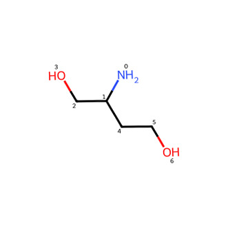 NC(CO)CCO